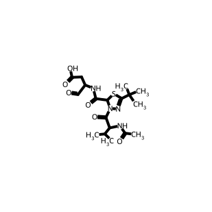 CC(=O)NC(C(=O)N1N=C(C(C)(C)C)SC1C(=O)NC(C=O)CC(=O)O)C(C)C